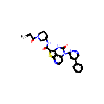 C=CC(=O)N1CCC=C(NC(=O)c2sc3nccc4c3c2NC(=O)N4c2cc(-c3ccccc3)cnn2)C1